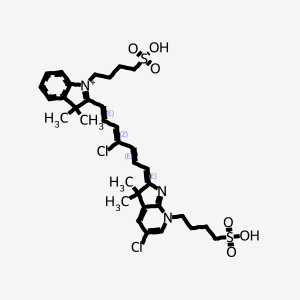 CC1(C)C2=CC(Cl)=CN(CCCCS(=O)(=O)O)C2=N/C1=C/C=C/C(Cl)=C/C=C/C1=[N+](CCCCS(=O)(=O)O)c2ccccc2C1(C)C